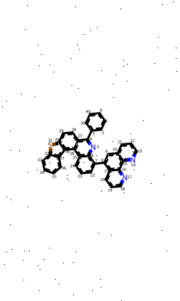 c1ccc(-c2nc3c(-c4cc5cccnc5c5ncccc45)cccc3c3c2ccc2sc4ccccc4c23)cc1